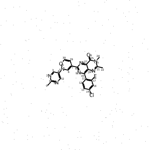 Cc1ncc(N2C=C(c3nc(-c4ccc(Cl)cc4F)c4nc(C)n(C)c(=O)c4n3)C=CO2)cn1